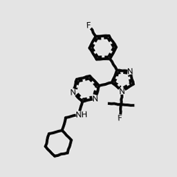 CC(C)(F)n1cnc(-c2ccc(F)cc2)c1-c1ccnc(NCC2CCCCC2)n1